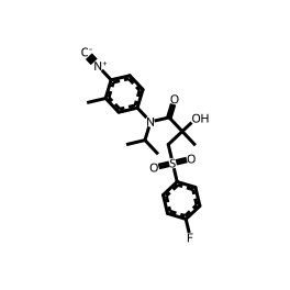 [C-]#[N+]c1ccc(N(C(=O)C(C)(O)CS(=O)(=O)c2ccc(F)cc2)C(C)C)cc1C